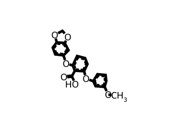 COc1cccc(Oc2cccc(Oc3ccc4c(c3)OCO4)c2C(=O)O)c1